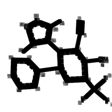 C#Cc1c(O)c(C(F)(F)F)cc(-c2ccccc2)c1-c1c(C)noc1C